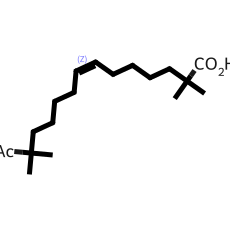 CC(=O)C(C)(C)CCCC/C=C\CCCCC(C)(C)C(=O)O